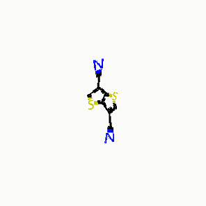 N#Cc1csc2c(C#N)csc12